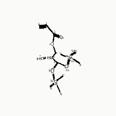 C=CC(=O)OC[SiH](O)C(O[Si](C)(C)C)O[Si](C)(C)C